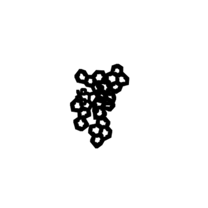 CC1(C)OC(C(OCc2ccc3ccc4cccc5ccc2c3c45)(c2cc3ccccc3c3ccccc23)c2cc3ccccc3c3ccccc23)C(C(OCc2ccc3ccc4cccc5ccc2c3c45)(c2cc3ccccc3c3ccccc23)c2cc3ccccc3c3ccccc23)O1